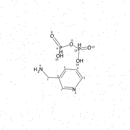 NCc1cccnc1.O=[PH](O)O[PH](=O)O